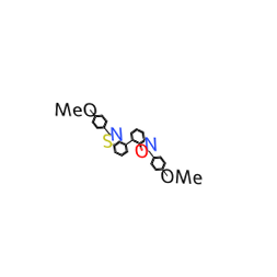 COc1ccc(-c2nc3cccc(-c4cccc5sc(-c6ccc(OC)cc6)nc45)c3o2)cc1